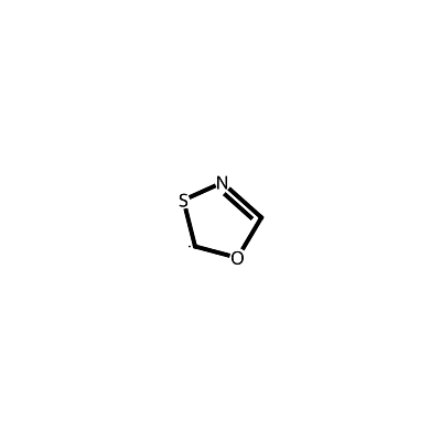 [CH]1OC=NS1